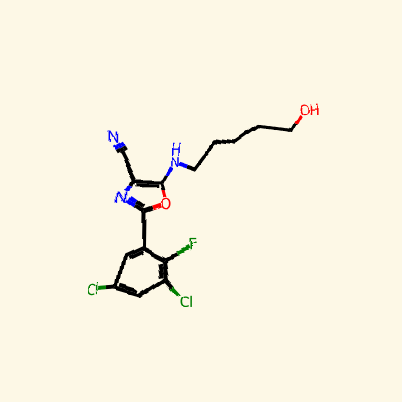 N#Cc1nc(-c2cc(Cl)cc(Cl)c2F)oc1NCCCCCO